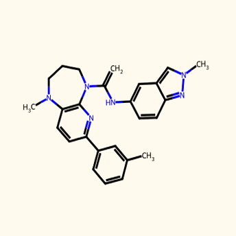 C=C(Nc1ccc2nn(C)cc2c1)N1CCCN(C)c2ccc(-c3cccc(C)c3)nc21